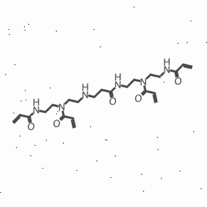 C=CC(=O)NCCN(CCNCCC(=O)NCCN(CCNC(=O)C=C)C(=O)C=C)C(=O)C=C